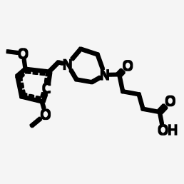 COc1ccc(OC)c(CN2CCN(C(=O)CCCC(=O)O)CC2)c1